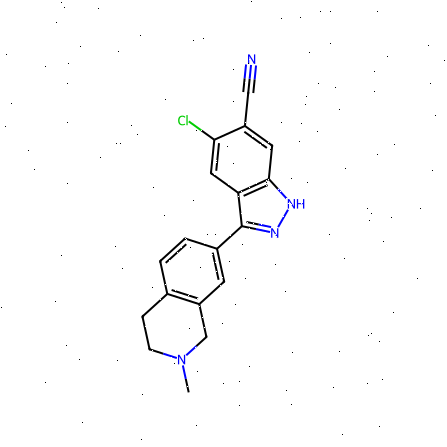 CN1CCc2ccc(-c3n[nH]c4cc(C#N)c(Cl)cc34)cc2C1